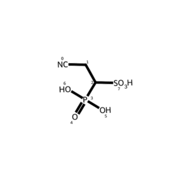 N#CCC(P(=O)(O)O)S(=O)(=O)O